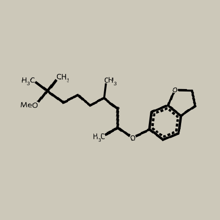 COC(C)(C)CCCC(C)CC(C)Oc1ccc2c(c1)OCC2